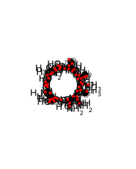 CCCCC[C@H]1C(=O)N(C)[C@@H](COc2cccc(C)c2)C(=O)N[C@@H](CCCNC(=N)N)C(=O)N[C@H](C(=O)NCC(N)=O)CSCC(=O)N[C@@H](Cc2ccc(O)cc2)C(=O)N(C)[C@@H](C)C(=O)N[C@@H](CC(N)=O)C(=O)N2CCCC2C(=O)N[C@@H](CN)C(=O)N[C@@H](CC(C)C)C(=O)N2C[C@H](O)C[C@H]2C(=O)N[C@@H](Cc2c[nH]c3ccccc23)C(=O)N[C@@H](CO)C(=O)N[C@@H](Cc2csc3ccccc23)C(=O)N1C